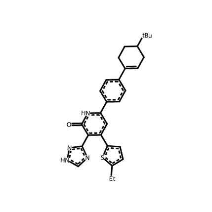 CCc1ccc(-c2cc(-c3ccc(C4=CCC(C(C)(C)C)CC4)cc3)[nH]c(=O)c2-c2nc[nH]n2)s1